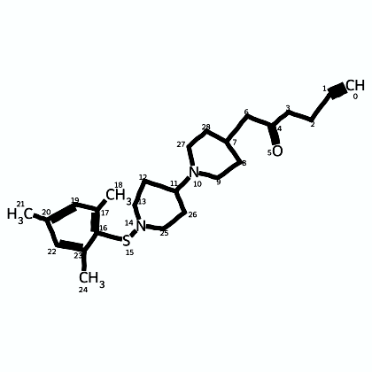 C#CCCC(=O)CC1CCN(C2CCN(Sc3c(C)cc(C)cc3C)CC2)CC1